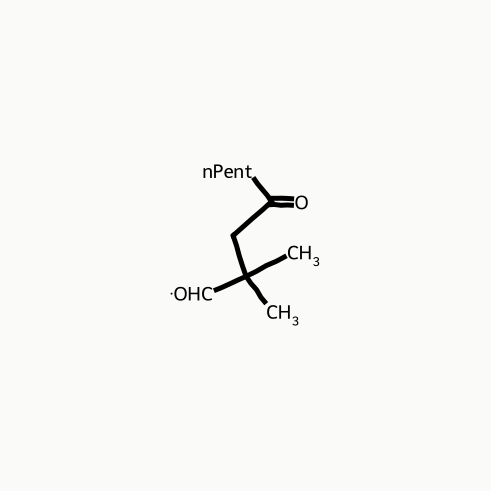 CCCCCC(=O)CC(C)(C)[C]=O